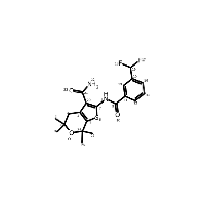 CC1(C)Cc2c(sc(NC(=O)c3cccc(C(F)F)c3)c2C(N)=O)C(C)(C)O1